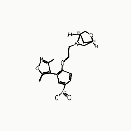 Cc1noc(C)c1-c1cc([N+](=O)[O-])ccc1OCCN1C[C@@H]2C[C@H]1CO2